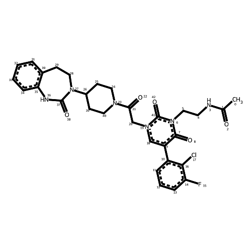 CC(=O)NCCn1c(=O)c(-c2cccc(F)c2Cl)cn(CC(=O)N2CCC(N3CCc4ccccc4NC3=O)CC2)c1=O